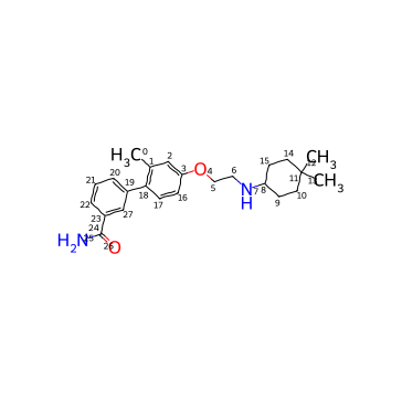 Cc1cc(OCCNC2CCC(C)(C)CC2)ccc1-c1cccc(C(N)=O)c1